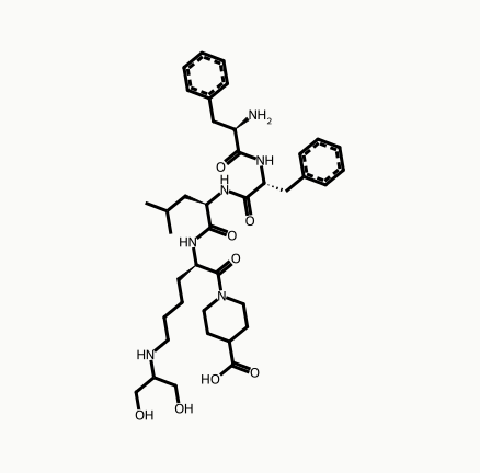 CC(C)C[C@@H](NC(=O)[C@@H](Cc1ccccc1)NC(=O)[C@H](N)Cc1ccccc1)C(=O)N[C@H](CCCCNC(CO)CO)C(=O)N1CCC(C(=O)O)CC1